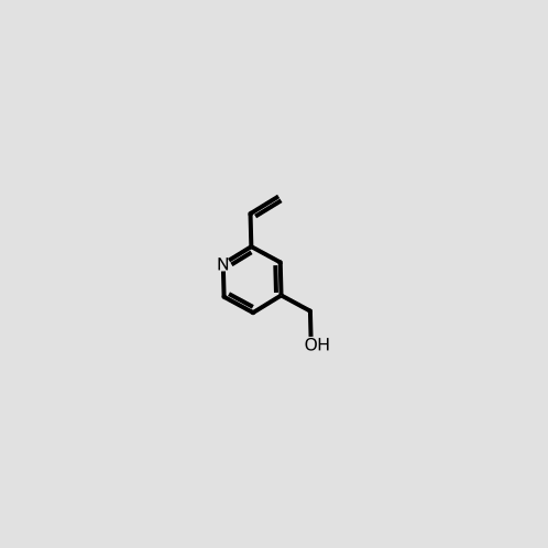 C=Cc1cc(CO)ccn1